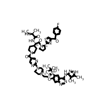 CN[C@@H](C)C(=O)N[C@H](C(=O)N1CCC[C@H]1c1nc(C(=O)c2ccc(F)cc2)cs1)C1CCN(C(=O)c2cnc(N3CCN(CCOc4cc5ncnc(Nc6n[nH]c(C)c6C)c5cc4S(=O)(=O)C(C)(C)C)CC3)nc2)CC1